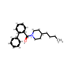 CCCCC1CCN(C(=O)c2ccccc2-c2ccccc2)CC1